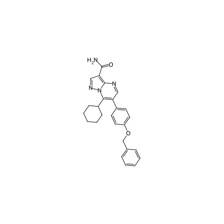 NC(=O)c1cnn2c(C3CCCCC3)c(-c3ccc(OCc4ccccc4)cc3)cnc12